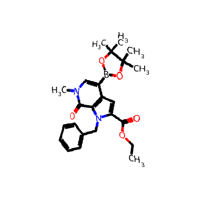 CCOC(=O)c1cc2c(B3OC(C)(C)C(C)(C)O3)cn(C)c(=O)c2n1Cc1ccccc1